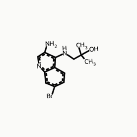 CC(C)(O)CNc1c(N)cnc2cc(Br)ccc12